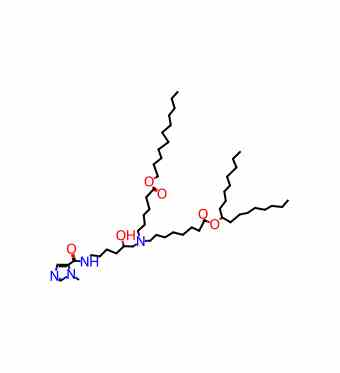 CCCCCCCCCCCOC(=O)CCCCCN(CCCCCCCC(=O)OC(CCCCCCCC)CCCCCCCC)CC(O)CCCCNC(=O)c1cncn1C